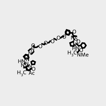 CN[C@@H](C)C(=O)N[C@H](C(=O)N1CCC[C@H]1c1nc(C(=O)c2cccc(OCCOCCOCCOCCOCCC(=O)N3CCN(c4ccc(Nc5ncc6c(C)c(C(C)=O)c(=O)n(C7CCCC7)c6n5)nc4)CC3)c2)cs1)C1CCCCC1